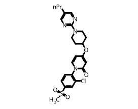 CCCc1cnc(N2CCC(Oc3ccn(-c4ccc(S(C)(=O)=O)cc4Cl)c(=O)c3)CC2)nc1